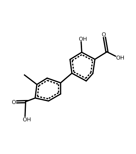 Cc1cc(-c2ccc(C(=O)O)c(O)c2)ccc1C(=O)O